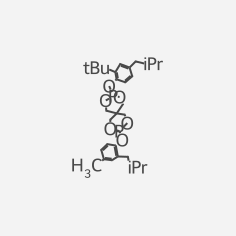 Cc1ccc(OP2OCC3(CO2)COP(Oc2ccc(CC(C)C)cc2C(C)(C)C)OC3)c(CC(C)C)c1